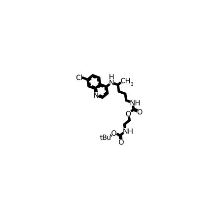 CC(CCCNC(=O)OCCNC(=O)OC(C)(C)C)Nc1ccnc2cc(Cl)ccc12